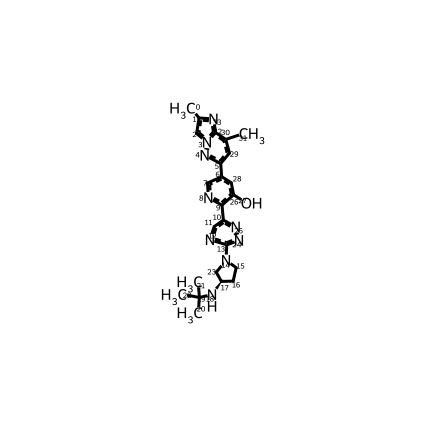 Cc1cn2nc(-c3cnc(-c4cnc(N5CC[C@@H](NC(C)(C)C)C5)nn4)c(O)c3)cc(C)c2n1